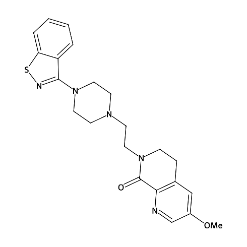 COc1cnc2c(c1)CCN(CCN1CCN(c3nsc4ccccc34)CC1)C2=O